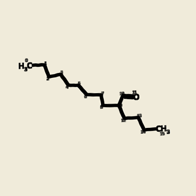 CCCCCCCCCC(C=O)CCCC